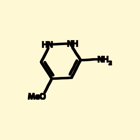 COC1=CNNC(N)=C1